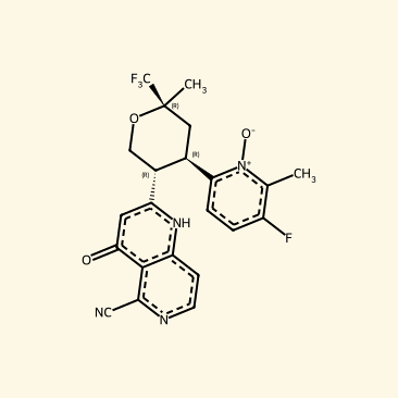 Cc1c(F)ccc([C@@H]2C[C@](C)(C(F)(F)F)OC[C@H]2c2cc(=O)c3c(C#N)nccc3[nH]2)[n+]1[O-]